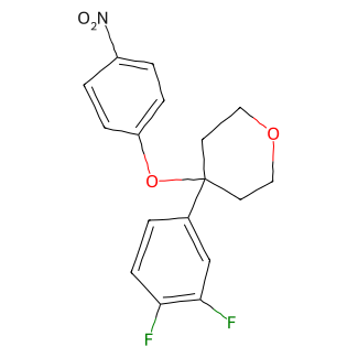 O=[N+]([O-])c1ccc(OC2(c3ccc(F)c(F)c3)CCOCC2)cc1